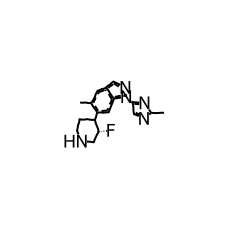 Cc1cc2cnn(C3=NC(C)N=C3)c2cc1C1CCNC[C@H]1F